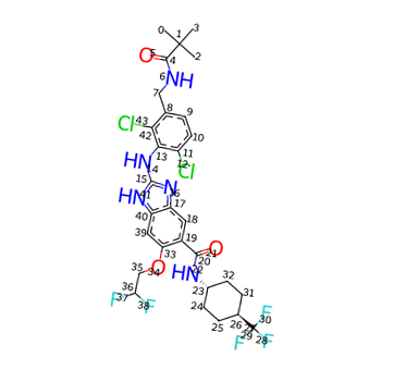 CC(C)(C)C(=O)NCc1ccc(Cl)c(Nc2nc3cc(C(=O)N[C@H]4CC[C@H](C(F)(F)F)CC4)c(OCC(F)F)cc3[nH]2)c1Cl